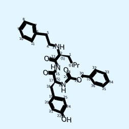 CC(C)C[C@H](NCCc1ccccc1)C(=O)NC(=O)[C@H](Cc1ccc(O)cc1)NC(=O)OCc1ccccc1